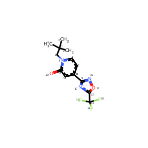 CC(C)(C)Cn1ccc(-c2noc(C(F)(F)F)n2)cc1=O